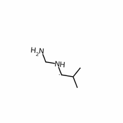 CC(C)[CH]NCN